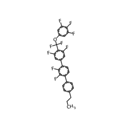 CCCc1ccc(-c2ccc(-c3cc(F)c(C(F)(F)Oc4cc(F)c(F)c(F)c4)c(F)c3)c(F)c2F)cc1